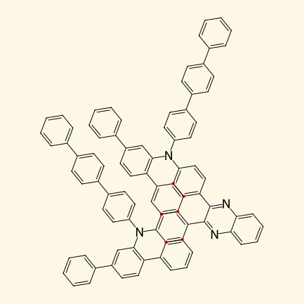 c1ccc(-c2ccc(-c3ccc(N(c4ccc(-c5nc6ccccc6nc5-c5ccc(N(c6ccc(-c7ccc(-c8ccccc8)cc7)cc6)c6cc(-c7ccccc7)ccc6-c6ccccc6)cc5)cc4)c4cc(-c5ccccc5)ccc4-c4ccccc4)cc3)cc2)cc1